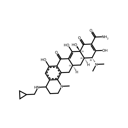 CN1CCC(NCC2CC2)c2cc(O)c3c(c21)C[C@@H]1C[C@@H]2[C@@H](N(C)C)C(O)=C(C(N)=O)C(=O)[C@@]2(O)C(O)=C1C3=O